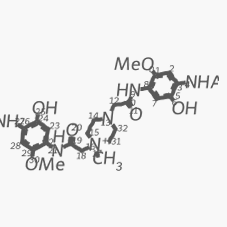 COc1cc(NC(C)=O)c(O)cc1NC(=O)CN1CC[N+](C)(CC(=O)Nc2cc(O)c(NC(C)=O)cc2OC)CC1